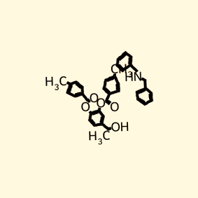 Cc1ccc(C(=O)Oc2ccc(C(C)O)cc2OC(=O)c2ccc(C)cc2)cc1.c1ccc(CNCc2ccccc2)cc1